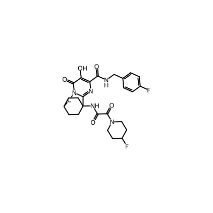 O=C(NC12CCC(CC1)Cn1c2nc(C(=O)NCc2ccc(F)cc2)c(O)c1=O)C(=O)N1CCC(F)CC1